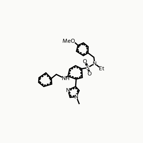 CCN(Cc1ccc(OC)cc1)S(=O)(=O)c1ccc(NCc2ccccc2)c(-c2cn(C)cn2)c1